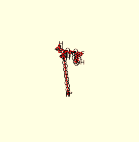 CC[C@@]1(O)C(=O)OCc2c1cc1n(c2=O)Cc2c-1nc1cc(F)c(C)c3c1c2[C@@H](NC(=O)OCc1ccc(NC(=O)[C@H](CCCCNC(c2ccccc2)(c2ccccc2)c2ccc(C)cc2)NC(=O)[C@H](Cc2ccccc2)NC(=O)CCOCCOCCOCCOCCOCCOCCOCCOCCOCCOCCN=[N+]=[N-])cc1)CC3